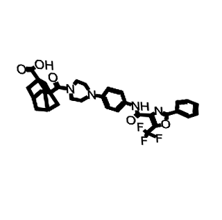 O=C(Nc1ccc(N2CCN(C(=O)C34CC5CC(CC(C(=O)O)(C5)C3)C4)CC2)cc1)c1nc(-c2ccccc2)oc1C(F)(F)F